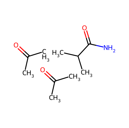 CC(C)=O.CC(C)=O.CC(C)C(N)=O